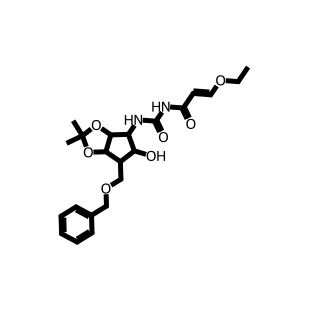 CCOC=CC(=O)NC(=O)NC1C(O)C(COCc2ccccc2)C2OC(C)(C)OC12